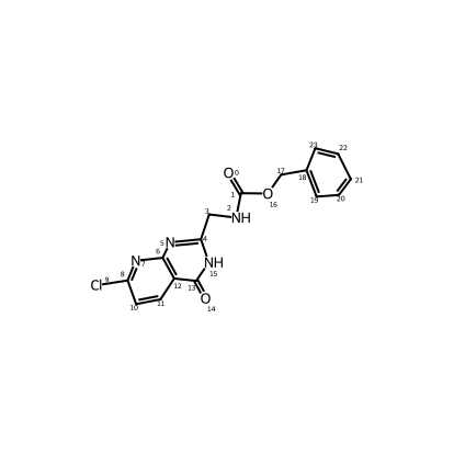 O=C(NCc1nc2nc(Cl)ccc2c(=O)[nH]1)OCc1ccccc1